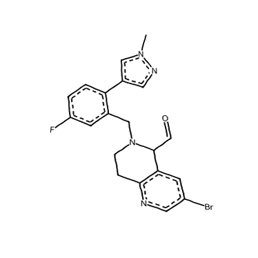 Cn1cc(-c2ccc(F)cc2CN2CCc3ncc(Br)cc3C2C=O)cn1